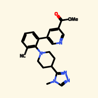 COC(=O)c1cncc(-c2cccc(C#N)c2N2CCC(c3nncn3C)CC2)c1